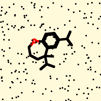 CC(C)c1ccc2c(c1)C(C)(C(C)C)CCCO2